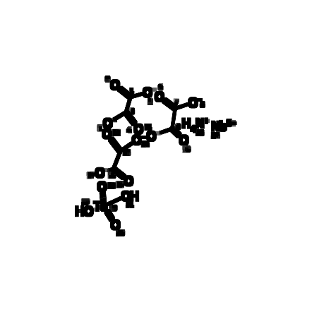 O=C([O-])C(=O)[O-].O=C([O-])C(=O)[O-].O=C([O-])C(=O)[O-].O=[Te](=O)(O)O.[NH4+].[Nb+5]